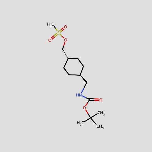 CC(C)(C)OC(=O)NC[C@H]1CC[C@H](COS(C)(=O)=O)CC1